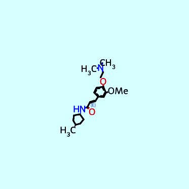 COc1cc(/C=C/C(=O)N[C@H]2CC[C@H](C)CC2)ccc1OCCN(C)C